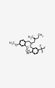 C=C(CC)CN(Cc1ccc(OC)cc1OC)Sc1cc(C(F)(F)F)ccc1Br